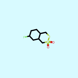 O=S1(=O)CC2CC(F)CCC2CS1